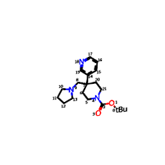 CC(C)(C)OC(=O)N1CCC(CN2CCCC2)(c2cccnc2)CC1